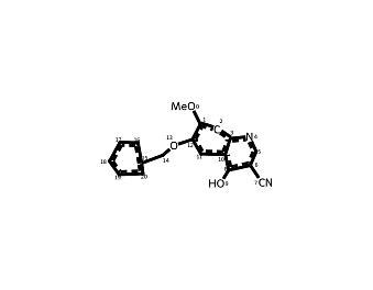 COc1cc2ncc(C#N)c(O)c2cc1OCc1ccccc1